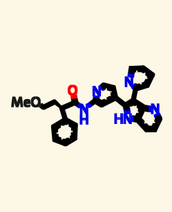 COCC[C@@H](C(=O)Nc1cc(-c2[nH]c3cccnc3c2-c2ccccn2)ccn1)c1ccccc1